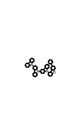 c1ccc(-c2ccc3oc4cccc(-n5c6ccccc6c6cc(-n7c8ccccc8c8cc(-n9c%10ccccc%10c%10ccccc%109)ccc87)ccc65)c4c3c2)cc1